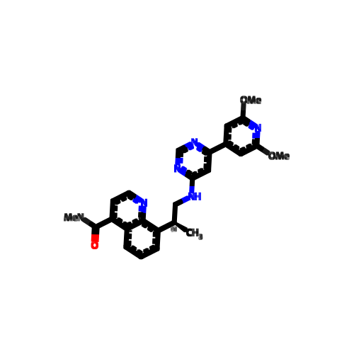 CNC(=O)c1ccnc2c([C@H](C)CNc3cc(-c4cc(OC)nc(OC)c4)ncn3)cccc12